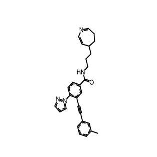 Cc1cccc(C#Cc2cc(C(=O)NCCCC3C=CN=CCC3)ccc2-n2cccn2)c1